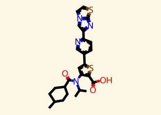 CC1CCC(C(=O)N(c2cc(-c3ccc(-c4cn5ccsc5n4)nc3)sc2C(=O)O)C(C)C)CC1